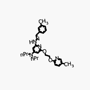 CCCN(CCC)c1cc(N/N=C/c2cccc(C)c2)nc(OCCOc2ccc(C)cn2)c1